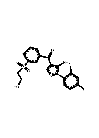 Nc1c(C(=O)c2cccc(S(=O)(=O)CCO)c2)cnn1-c1ccc(F)cc1F